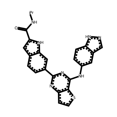 CC(C)NC(=O)c1cc2ccc(-c3nc(Nc4ccc5[nH]ncc5c4)c4sccc4n3)cc2[nH]1